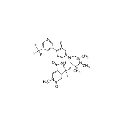 C[C@@H]1CN(c2cc(F)c(-c3cncc(C(F)(F)F)c3)cc2NC(=O)c2cn(C)c(=O)cc2C(F)(F)F)C[C@H](C)N1C